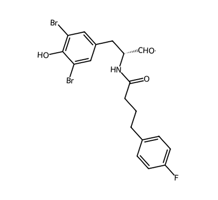 O=[C][C@@H](Cc1cc(Br)c(O)c(Br)c1)NC(=O)CCCc1ccc(F)cc1